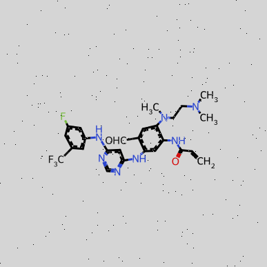 C=CC(=O)Nc1cc(Nc2cc(Nc3cc(F)cc(C(F)(F)F)c3)ncn2)c(C=O)cc1N(C)CCN(C)C